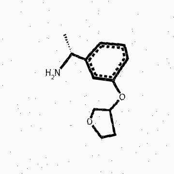 C[C@@H](N)c1cccc(OC2CCOC2)c1